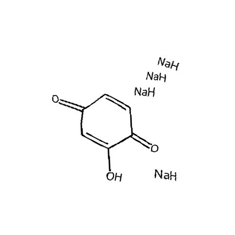 O=C1C=CC(=O)C(O)=C1.[NaH].[NaH].[NaH].[NaH]